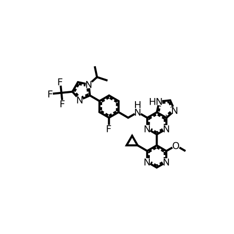 COc1ncnc(C2CC2)c1-c1nc(NCc2ccc(-c3nc(C(F)(F)F)cn3C(C)C)cc2F)c2[nH]cnc2n1